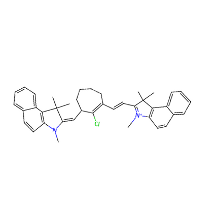 CN1/C(=C/C2CCCCC(/C=C/C3=[N+](C)c4ccc5ccccc5c4C3(C)C)=C2Cl)C(C)(C)c2c1ccc1ccccc21